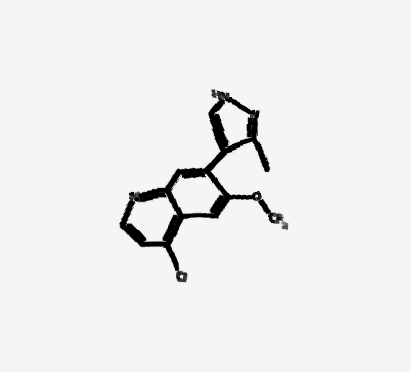 Cc1n[nH]cc1-c1cc2nccc(Cl)c2cc1OC(F)(F)F